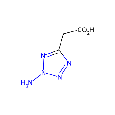 Nn1nnc(CC(=O)O)n1